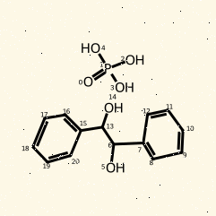 O=P(O)(O)O.OC(c1ccccc1)C(O)c1ccccc1